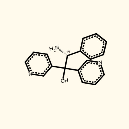 N[C@H](c1ccccc1)C(O)(c1cccnc1)c1cccnc1